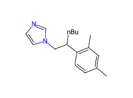 CCCCC(Cn1ccnc1)c1ccc(C)cc1C